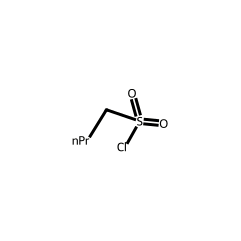 [CH2]CCCS(=O)(=O)Cl